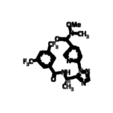 CON(C)C(=O)c1ccc(-n2ncnc2[C@H](C)NC(=O)c2cc(C(F)(F)F)cc(C(F)(F)F)c2)nc1